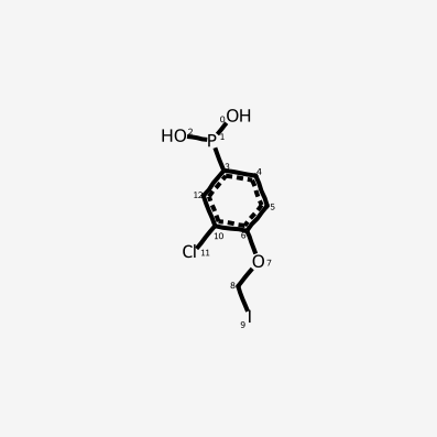 OP(O)c1ccc(OCI)c(Cl)c1